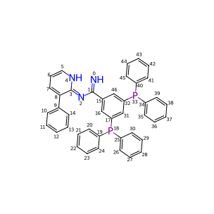 N=C(/N=c1\[nH]cccc1-c1ccccc1)c1cc(P(c2ccccc2)c2ccccc2)cc(P(c2ccccc2)c2ccccc2)c1